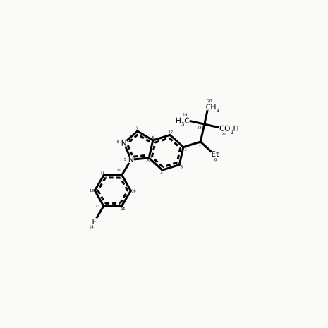 CCC(c1ccc2c(cnn2-c2ccc(F)cc2)c1)C(C)(C)C(=O)O